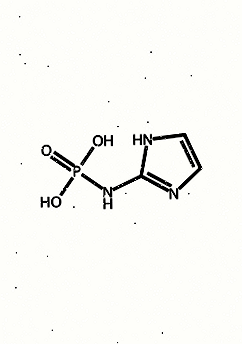 O=P(O)(O)Nc1ncc[nH]1